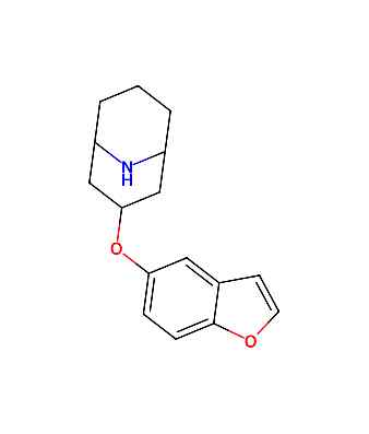 c1cc2cc(OC3CC4CCCC(C3)N4)ccc2o1